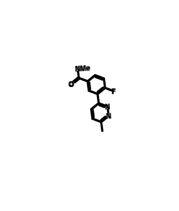 CNC(=O)c1ccc(F)c(-c2ccc(C)nn2)c1